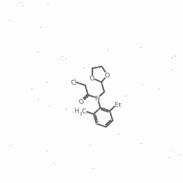 CCc1cccc(C)c1N(CC1OCCO1)C(=O)CCl